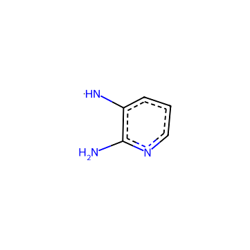 [NH]c1cccnc1N